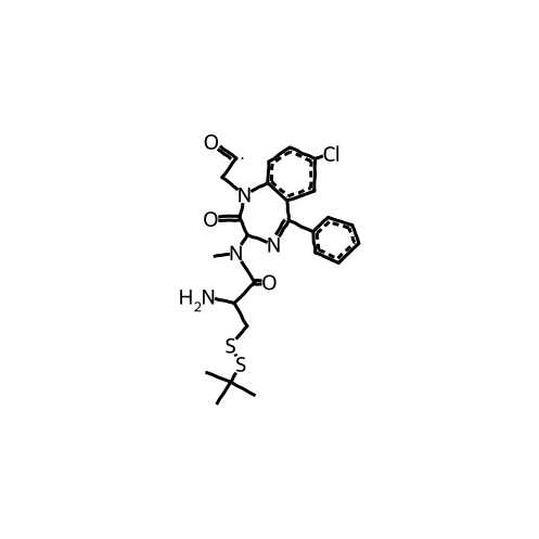 CN(C(=O)C(N)CSSC(C)(C)C)C1N=C(c2ccccc2)c2cc(Cl)ccc2N(C[C]=O)C1=O